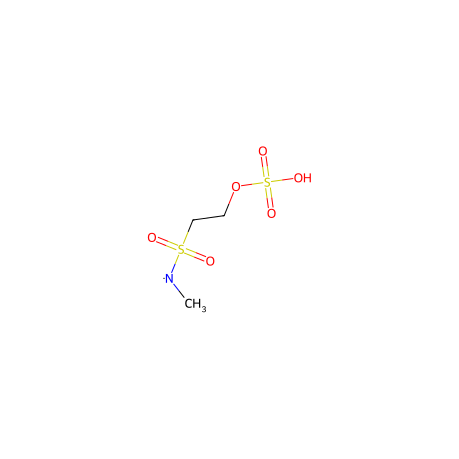 C[N]S(=O)(=O)CCOS(=O)(=O)O